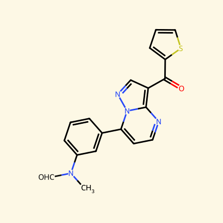 CN(C=O)c1cccc(-c2ccnc3c(C(=O)c4cccs4)cnn23)c1